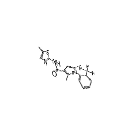 Cc1cnc(NC(=O)c2cc(C)n(-c3ccccc3C(F)(F)F)c2C)s1